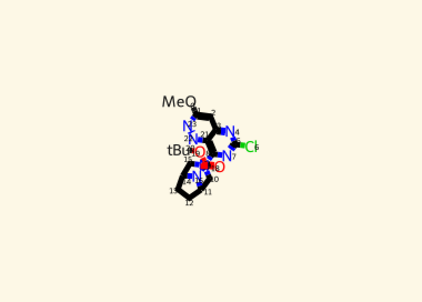 COc1cc2nc(Cl)nc(N3CC4CCC(C3)N4C(=O)OC(C)(C)C)c2nn1